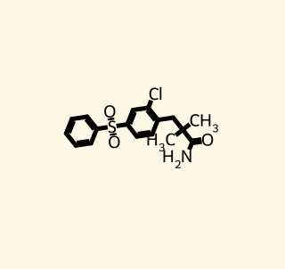 CC(C)(Cc1ccc(S(=O)(=O)c2ccccc2)cc1Cl)C(N)=O